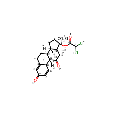 CCOC(=O)[C@@]1(OC(=O)C(Cl)Cl)CC[C@H]2[C@@H]3CCC4=CC(=O)C=C[C@]4(C)[C@H]3C(=O)C[C@@]21C